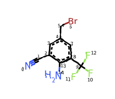 N#Cc1cc([CH]Br)cc(C(F)(F)F)c1N